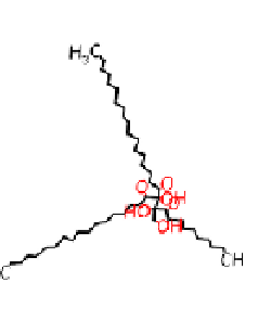 CCCCCCCCCCCCCCCCCC(=O)C(O)(C(=O)CCCCCCCCCCCCCCCCC)C(O)(CO)C(=O)CCCCCCCCC